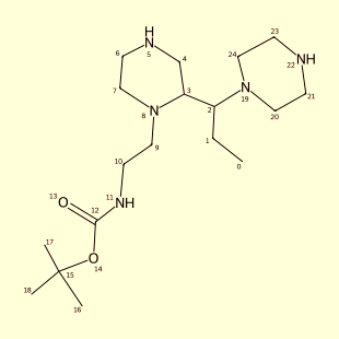 CCC(C1CNCCN1CCNC(=O)OC(C)(C)C)N1CCNCC1